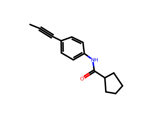 CC#Cc1ccc(NC(=O)C2CCCC2)cc1